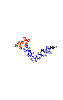 C1=NC=NC1.C1=NC=NC1.C1=NC=NC1.C1=NC=NC1.C1=NC=NC1.C1=NC=NC1.O=S(=O)([O-])OOS(=O)(=O)[O-].[Ni+2]